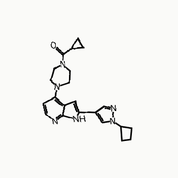 O=C(C1CC1)N1CCN(c2ccnc3[nH]c(-c4cnn(C5CCC5)c4)cc23)CC1